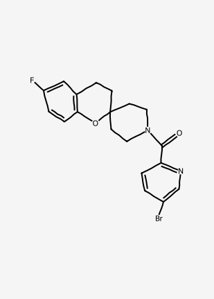 O=C(c1ccc(Br)cn1)N1CCC2(CCc3cc(F)ccc3O2)CC1